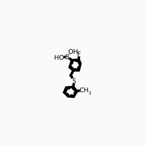 Cc1ccccc1SCc1ccc(F)c(B(O)O)c1